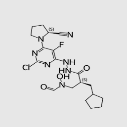 N#C[C@@H]1CCCN1c1nc(Cl)nc(NNC(=O)[C@@H](CC2CCCC2)CN(O)C=O)c1F